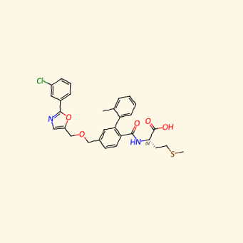 CSCC[C@H](NC(=O)c1ccc(COCc2cnc(-c3cccc(Cl)c3)o2)cc1-c1ccccc1C)C(=O)O